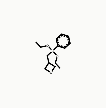 CCO[Si](CC1COC1)(OCC)c1ccccc1